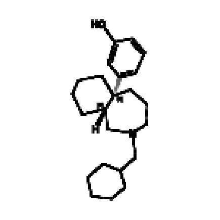 Oc1cccc([C@@]23CCCC[C@H]2CN(CC2CCCCC2)CCC3)c1